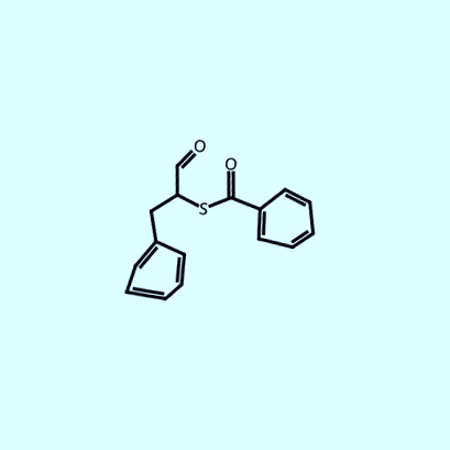 O=CC(Cc1ccccc1)SC(=O)c1ccccc1